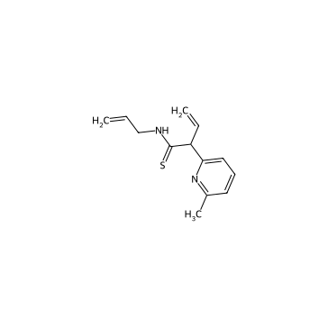 C=CCNC(=S)C(C=C)c1cccc(C)n1